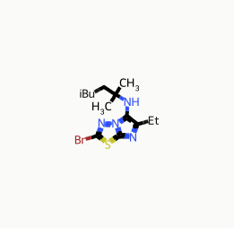 CCc1nc2sc(Br)nn2c1NC(C)(C)CC(C)CC